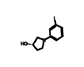 O[C@H]1CCN(c2cccc(I)c2)C1